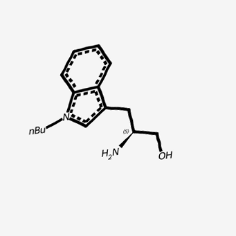 CCCCn1cc(C[C@H](N)CO)c2ccccc21